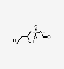 CCC(O)CS(=O)(=O)N[C]=O